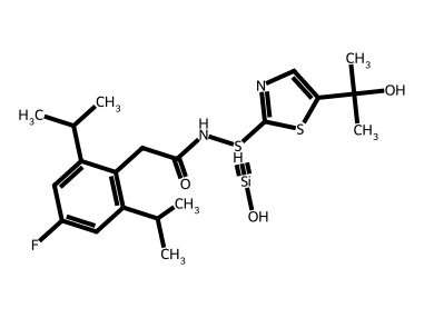 CC(C)c1cc(F)cc(C(C)C)c1CC(=O)N[SH](#[Si]O)c1ncc(C(C)(C)O)s1